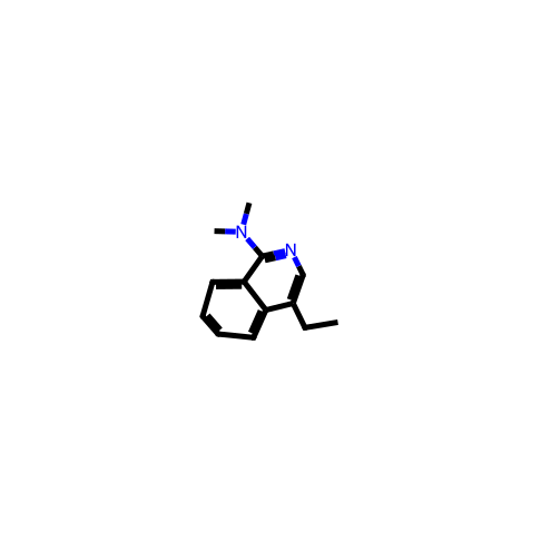 CCc1cnc(N(C)C)c2ccccc12